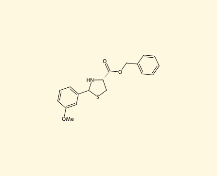 COc1cccc(C2N[C@H](C(=O)OCc3ccccc3)CS2)c1